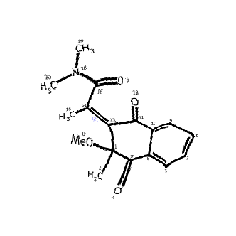 COC1(C)C(=O)c2ccccc2C(=O)/C1=C(/C)C(=O)N(C)C